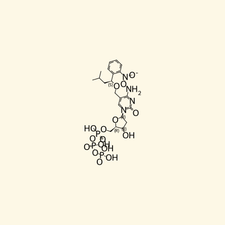 CC(C)C[C@H](OCc1cn([C@H]2C[C@@H](O)[C@@H](COP(=O)(O)OP(=O)(O)OP(=O)(O)O)O2)c(=O)nc1N)c1ccccc1[N+](=O)[O-]